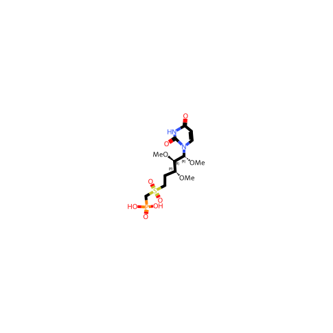 CO[C@@H]([C@@H](OC)n1ccc(=O)[nH]c1=O)[C@@H](CCS(=O)(=O)CP(=O)(O)O)OC